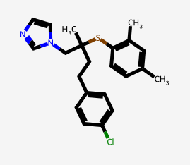 Cc1ccc(SC(C)(CCc2ccc(Cl)cc2)Cn2ccnc2)c(C)c1